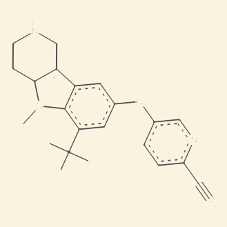 CN1c2c(cc(Nc3ccc(C#N)nc3)cc2C(F)(F)F)[C@@H]2CNCC[C@@H]21